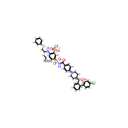 CNCC[C@H](CSc1ccccc1)Nc1ccc(S(=O)(=O)NC(=O)c2ccc(N3CCC([C@H](O)c4ccccc4-c4ccc(Cl)cc4)CC3)cc2)cc1S(=O)(=O)C(F)(F)F